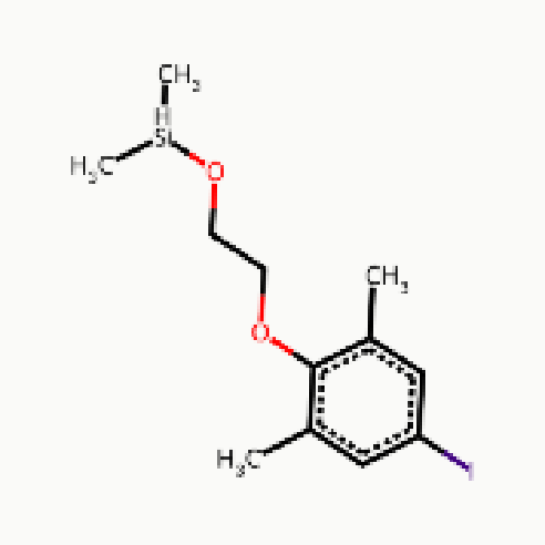 Cc1cc(I)cc(C)c1OCCO[SiH](C)C